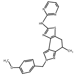 COc1ccc(Cn2cc3c(n2)C(C)Cc2sc(Nc4ncccn4)nc2-3)cc1